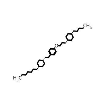 CCCCCCC[C@H]1CC[C@H](CCc2ccc(OCCC[C@H]3CC[C@H](CCCCC)CC3)cc2)CC1